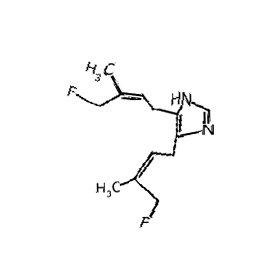 CC(=CCc1nc[nH]c1CC=C(C)CF)CF